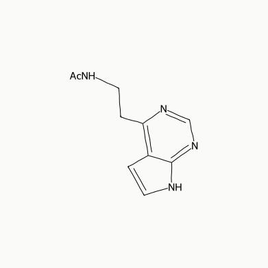 CC(=O)NCCc1ncnc2[nH]ccc12